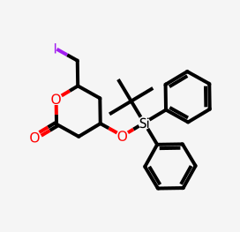 CC(C)(C)[Si](OC1CC(=O)OC(CI)C1)(c1ccccc1)c1ccccc1